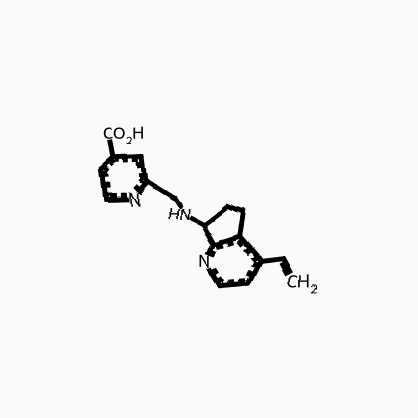 C=Cc1ccnc2c1CCC2NCc1cc(C(=O)O)ccn1